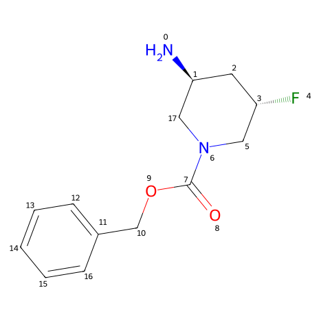 N[C@H]1C[C@H](F)CN(C(=O)OCc2ccccc2)C1